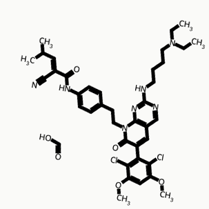 CCN(CC)CCCCNc1ncc2cc(-c3c(Cl)c(OC)cc(OC)c3Cl)c(=O)n(CCc3ccc(NC(=O)/C(C#N)=C/C(C)C)cc3)c2n1.O=CO